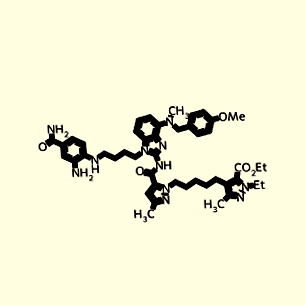 CCOC(=O)c1c(CCCCCn2nc(C)cc2C(=O)Nc2nc3c(N(C)Cc4ccc(OC)cc4)cccc3n2CCCCNc2ccc(C(N)=O)cc2N)c(C)nn1CC